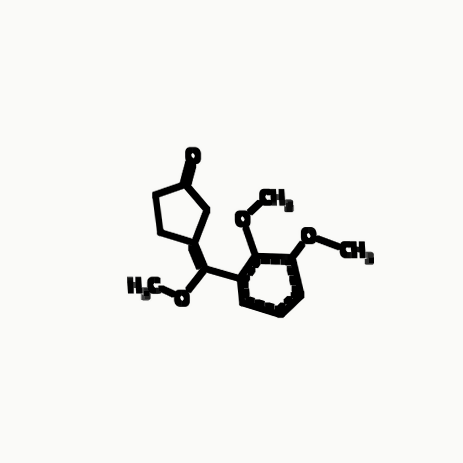 COC(=C1CCC(=O)C1)c1cccc(OC)c1OC